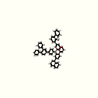 c1ccc(-c2ccc(-c3ccc(N(c4cccc(-c5cccc6c5oc5ccccc56)c4)c4cc(-c5cccc6ccccc56)ccc4-c4ccccc4)cc3)cc2-c2ccccc2)cc1